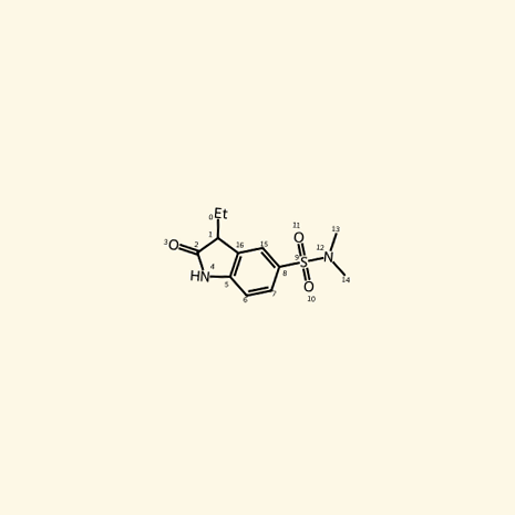 CCC1C(=O)Nc2ccc(S(=O)(=O)N(C)C)cc21